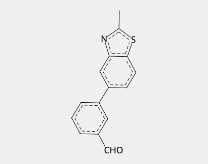 Cc1nc2cc(-c3cccc(C=O)c3)ccc2s1